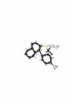 CC(C)(Sc1ccc2ccccc2c1-c1ccc(C#N)cc1)C(=O)O